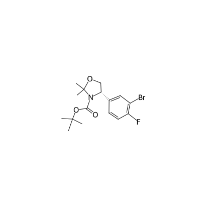 CC(C)(C)OC(=O)N1[C@@H](c2ccc(F)c(Br)c2)COC1(C)C